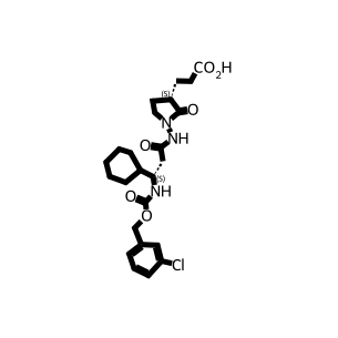 O=C(O)CC[C@H]1CCN(NC(=O)C[C@H](NC(=O)OCc2cccc(Cl)c2)C2CCCCC2)C1=O